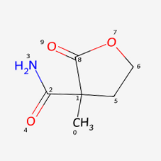 CC1(C(N)=O)CCOC1=O